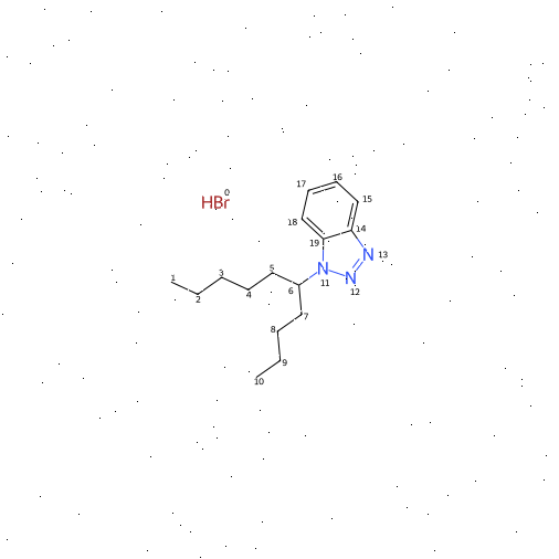 Br.CCCCCC(CCCC)n1nnc2ccccc21